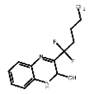 CCCCC(F)(F)C1=Nc2ccccc2NC1O